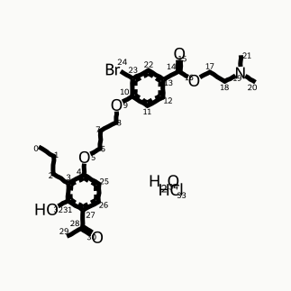 CCCc1c(OCCCOc2ccc(C(=O)OCCN(C)C)cc2Br)ccc(C(C)=O)c1O.Cl.O